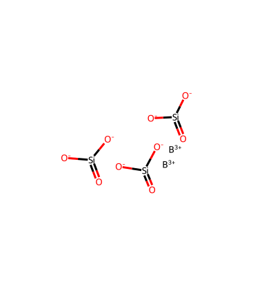 O=[Si]([O-])[O-].O=[Si]([O-])[O-].O=[Si]([O-])[O-].[B+3].[B+3]